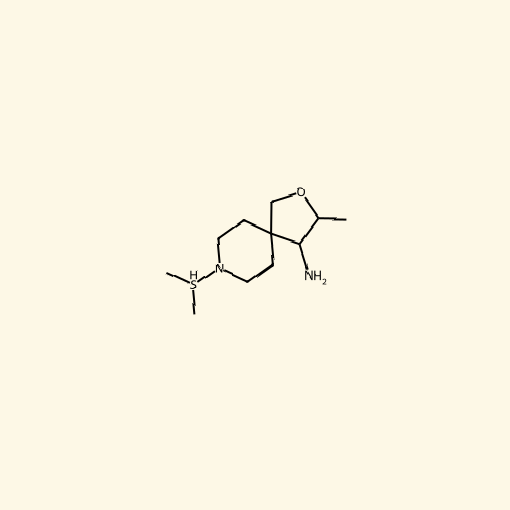 CC1OCC2(CCN([SH](C)C)CC2)C1N